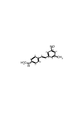 CBc1ccc(/C=C/c2cc(C)cc(N=O)c2)cc1